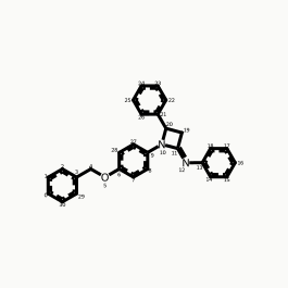 c1ccc(COc2ccc(N3/C(=N/c4ccccc4)CC3c3ccccc3)cc2)cc1